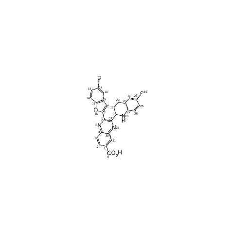 O=C(O)c1ccc2nc(-c3cc4cc(F)ccc4o3)c(C3CCc4cc(F)ccc4N3)nc2c1